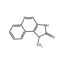 Cn1c(=O)[nH]c2cnc3ccccc3c21